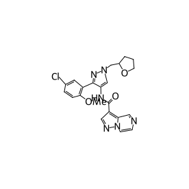 COc1ccc(Cl)cc1-c1nn(CC2CCCO2)cc1NC(=O)c1cnn2ccncc12